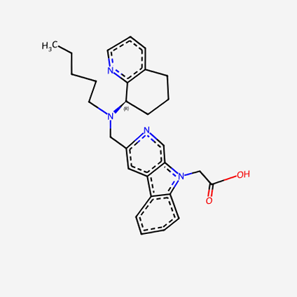 CCCCCN(Cc1cc2c3ccccc3n(CC(=O)O)c2cn1)[C@@H]1CCCc2cccnc21